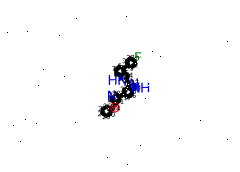 Fc1ccc(-c2cccc3[nH]c(-c4n[nH]c5ccc(-c6cncc(OC7CCCCC7)c6)cc45)cc23)cc1